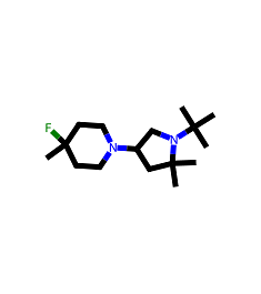 CC1(F)CCN(C2CN(C(C)(C)C)C(C)(C)C2)CC1